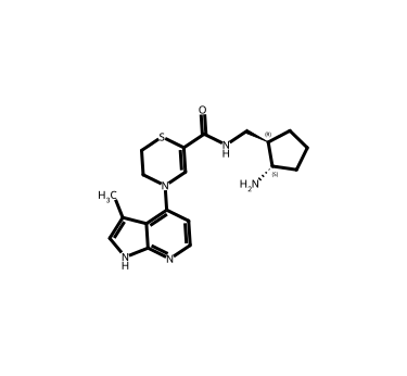 Cc1c[nH]c2nccc(N3C=C(C(=O)NC[C@H]4CCC[C@@H]4N)SCC3)c12